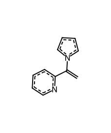 C=C(c1ccccn1)n1cccc1